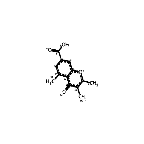 Cc1oc2cc(C(=O)O)cc(C)c2c(=O)c1C